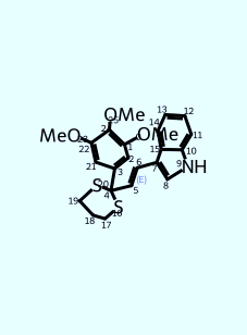 COc1cc(C2(/C=C/c3c[nH]c4ccccc34)SCCCS2)cc(OC)c1OC